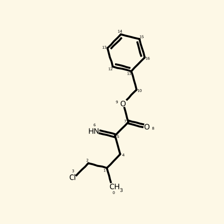 CC(CCl)CC(=N)C(=O)OCc1ccccc1